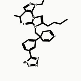 CCCCc1cn(-c2c(C(C)C)cnn2CC)c(=O)n1CC1(c2cccc(-c3nnn[nH]3)c2)C=CN=CC1